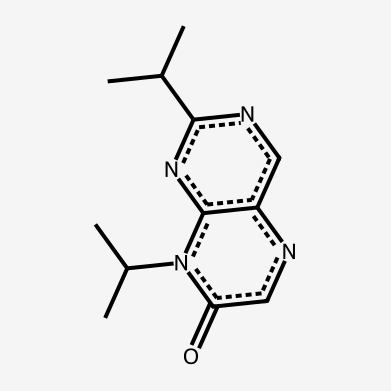 CC(C)c1ncc2ncc(=O)n(C(C)C)c2n1